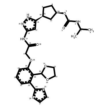 CC(C)NC(=O)O[C@@H]1CC[C@H](c2cc(NC(=O)COc3cccc(-c4nccs4)c3C3OCCO3)n[nH]2)C1